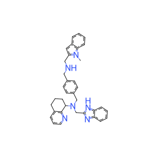 Cn1c(CNCc2ccc(CN(Cc3nc4ccccc4[nH]3)C3CCCc4cccnc43)cc2)cc2ccccc21